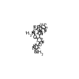 NC(=O)c1c(-c2ccc(Oc3ccnc(N)c3)c(F)c2)nn(-c2ncccc2F)c1C(F)(F)F